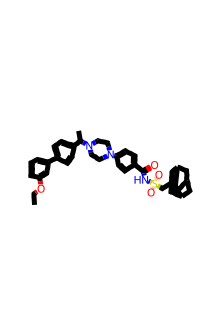 CCOc1cccc(-c2ccc(C(C)N3CCN(c4ccc(C(=O)NS(=O)(=O)CC56CC7CC(CC(C7)C5)C6)cc4)CC3)cc2)c1